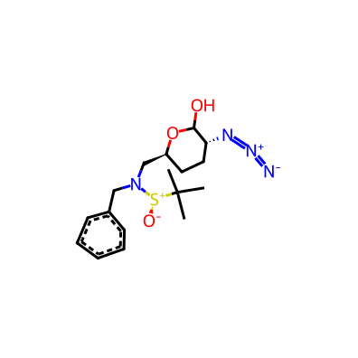 CC(C)(C)[S@@+]([O-])N(Cc1ccccc1)C[C@@H]1CC[C@@H](N=[N+]=[N-])C(O)O1